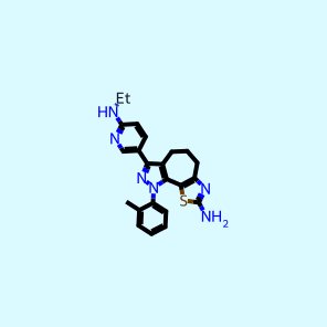 CCNc1ccc(-c2nn(-c3ccccc3C)c3c2CCCc2nc(N)sc2-3)cn1